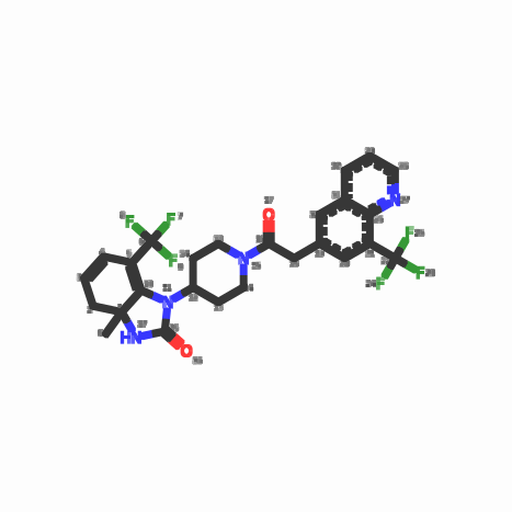 CC12CC=CC(C(F)(F)F)=C1N(C1CCN(C(=O)Cc3cc(C(F)(F)F)c4ncccc4c3)CC1)C(=O)N2